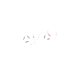 COc1ccccc1C(=O)NC(CO)Cc1ccc(O)cc1